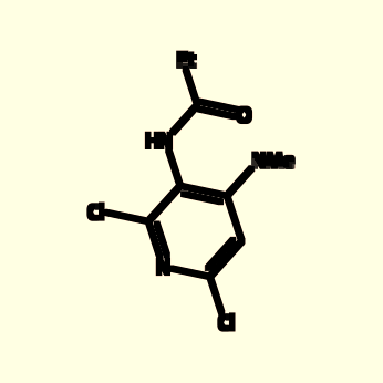 CCC(=O)Nc1c(NC)cc(Cl)nc1Cl